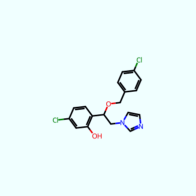 Oc1cc(Cl)ccc1C(Cn1ccnc1)OCc1ccc(Cl)cc1